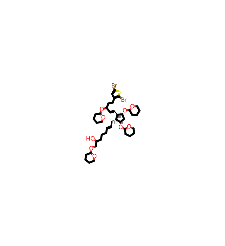 OC(CCCC=CC[C@@H]1[C@@H](C=CC(CCc2cc(Br)sc2Br)OC2CCCCO2)[C@H](OC2CCCCO2)C[C@@H]1OC1CCCCO1)COC1CCCCO1